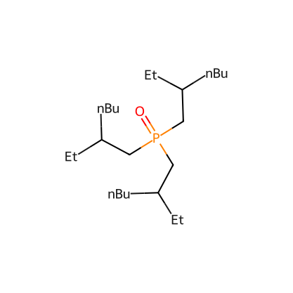 CCCCC(CC)CP(=O)(CC(CC)CCCC)CC(CC)CCCC